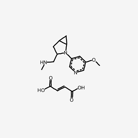 CNCC1CC2CC2N1c1cncc(OC)c1.O=C(O)C=CC(=O)O